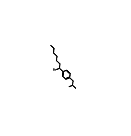 CCCCCCC(Br)c1ccc(CC(C)C)cc1